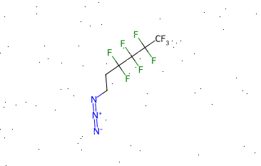 [N-]=[N+]=NCCC(F)(F)C(F)(F)C(F)(F)C(F)(F)F